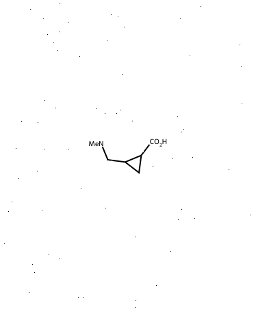 CNCC1CC1C(=O)O